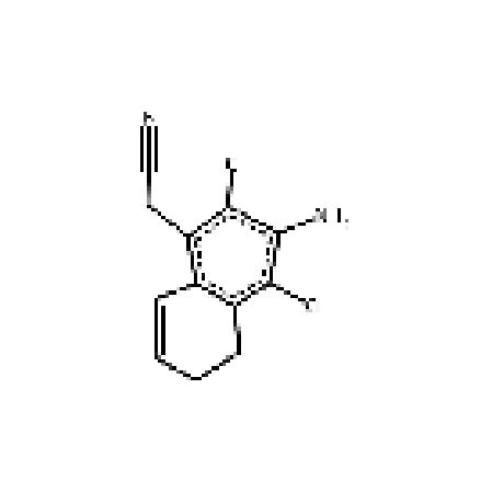 N#CCc1c(Cl)c(N)c(Cl)c2c1C=CCC2